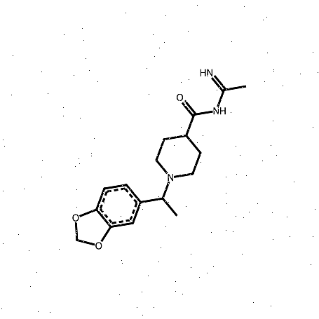 CC(=N)NC(=O)C1CCN(C(C)c2ccc3c(c2)OCO3)CC1